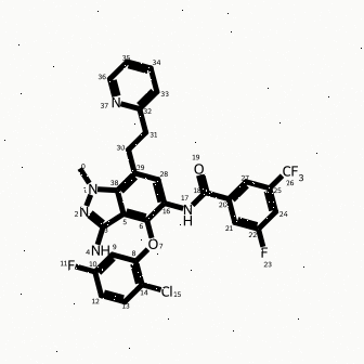 Cn1nc(N)c2c(Oc3cc(F)ccc3Cl)c(NC(=O)c3cc(F)cc(C(F)(F)F)c3)cc(CCc3ccccn3)c21